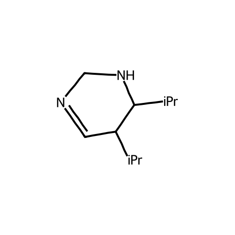 CC(C)C1C=NCNC1C(C)C